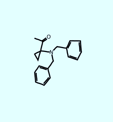 CC(=O)C1(N(Cc2ccccc2)Cc2ccccc2)CC1